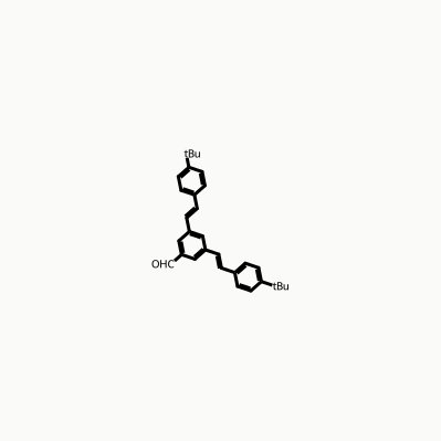 CC(C)(C)c1ccc(/C=C/c2cc(C=O)cc(/C=C/c3ccc(C(C)(C)C)cc3)c2)cc1